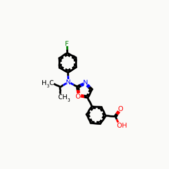 CC(C)N(c1ccc(F)cc1)c1ncc(-c2cccc(C(=O)O)c2)o1